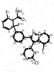 NC(=O)C1C(F)=CC=CC1(F)c1cccc(-c2nn3cccc(F)c3c2-c2ccnc(Cl)n2)c1